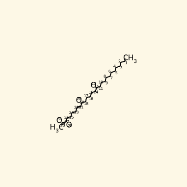 CCCCCCCCCCCCC(=O)CCCCCC(=O)C=CCCCCC(=O)C(C)=O